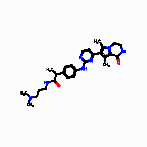 Cc1c(-c2ccnc(Nc3ccc(C(C)C(=O)NCCCN(C)C)cc3)n2)c(C)n2c1C(=O)NCC2